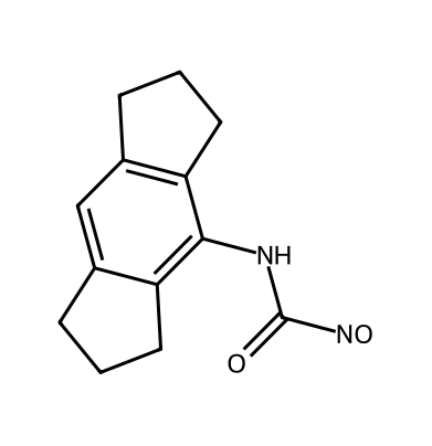 O=NC(=O)Nc1c2c(cc3c1CCC3)CCC2